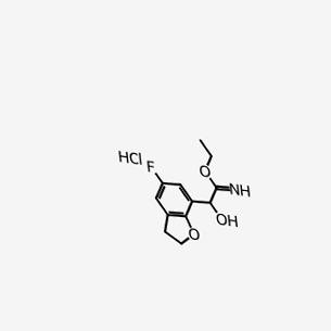 CCOC(=N)C(O)c1cc(F)cc2c1OCC2.Cl